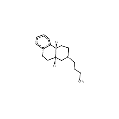 CCCCN1CC[C@H]2c3ccccc3CC[C@H]2C1